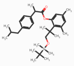 Cc1cc(C)c(C(C)(C)CO[Si](C)(C)C(C)(C)C)c(OC(=O)C(C)c2ccc(CC(C)C)cc2)c1